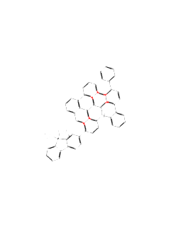 CC1(C)c2ccccc2-c2ccc(-c3ccc(N(c4ccccc4-c4ccc(-c5ccccc5)cc4)c4ccccc4-c4cccc5cccc(-c6ccccc6)c45)cc3)cc21